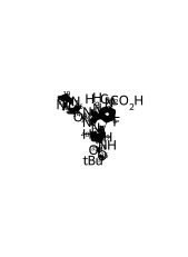 CN(C(=O)O)c1cc(F)cc2c1[nH]c1nc(Oc3cnc4ccnn4c3)nc(N3C[C@H]4C[C@@H]3C[C@H]4NC(=O)OC(C)(C)C)c12